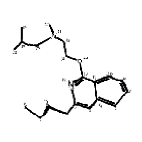 CCCCc1cc2ccccc2c(OCCN(C)CC(C)C)n1